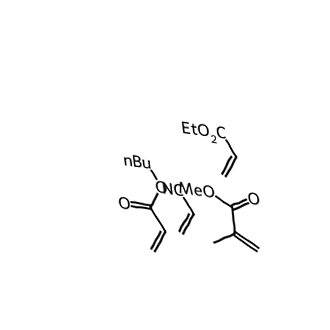 C=C(C)C(=O)OC.C=CC#N.C=CC(=O)OCC.C=CC(=O)OCCCC